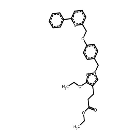 CCOC(=O)CCc1cn(Cc2ccc(OCc3cccc(-c4ccccc4)n3)cc2)nc1OCC